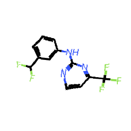 FC(F)c1cccc(Nc2nccc(C(F)(F)F)n2)c1